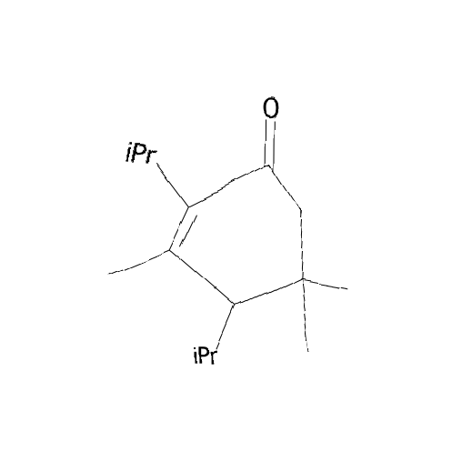 CC1=C(C(C)C)C(=O)CC(C)(C)C1C(C)C